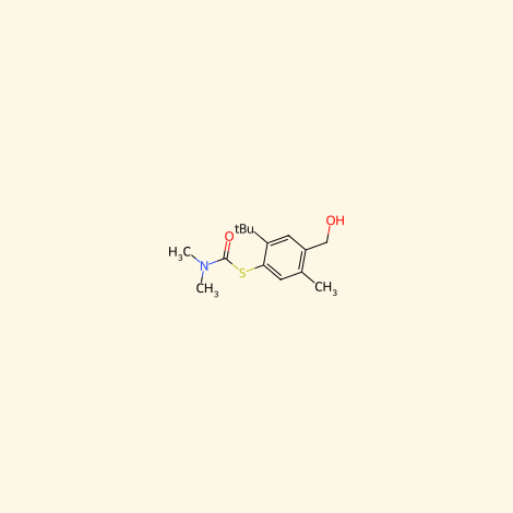 Cc1cc(SC(=O)N(C)C)c(C(C)(C)C)cc1CO